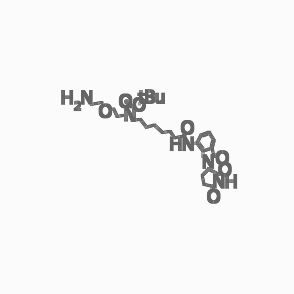 CC(C)(C)OC(=O)N(CCCCCCCC(=O)Nc1cccc2c1CN(C1CCC(=O)NC1=O)C2=O)CCOCCN